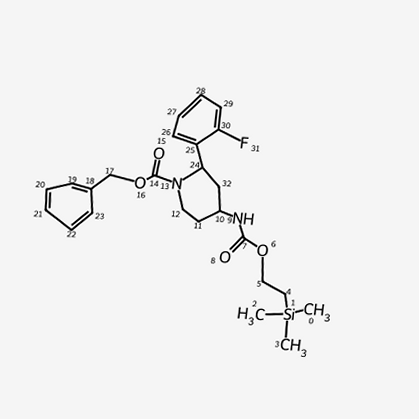 C[Si](C)(C)CCOC(=O)NC1CCN(C(=O)OCc2ccccc2)C(c2ccccc2F)C1